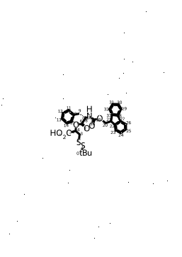 CC(C)(C)SSCC(OC(=O)[C@H](Cc1ccccc1)NC(=O)OCC1c2ccccc2-c2ccccc21)C(=O)O